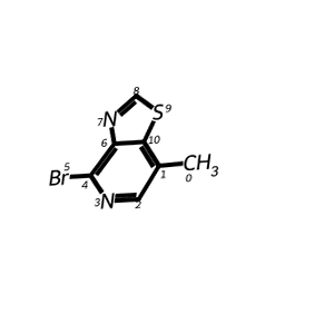 Cc1cnc(Br)c2ncsc12